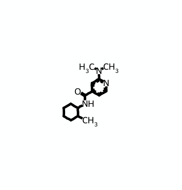 CC1CCCCC1NC(=O)c1ccnc(N(C)C)c1